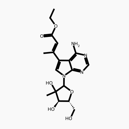 CCOC(=O)C=C(C)c1cn(C2O[C@H](CO)[C@@H](O)C2(C)O)c2ncnc(N)c12